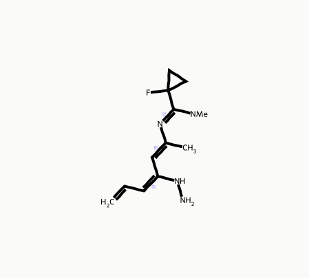 C=C\C=C(/C=C(C)/N=C(\NC)C1(F)CC1)NN